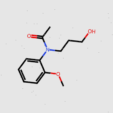 COc1ccccc1N(CCCO)C(C)=O